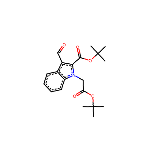 CC(C)(C)OC(=O)Cn1c(C(=O)OC(C)(C)C)c(C=O)c2ccccc21